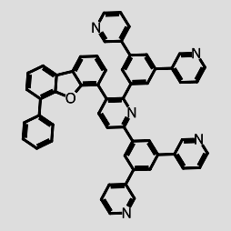 c1ccc(-c2cccc3c2oc2c(-c4ccc(-c5cc(-c6cccnc6)cc(-c6cccnc6)c5)nc4-c4cc(-c5cccnc5)cc(-c5cccnc5)c4)cccc23)cc1